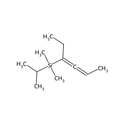 CC=C=C(CC)[Si](C)(C)C(C)C